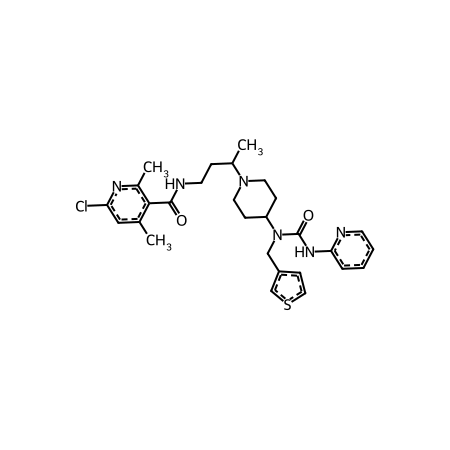 Cc1cc(Cl)nc(C)c1C(=O)NCCC(C)N1CCC(N(Cc2ccsc2)C(=O)Nc2ccccn2)CC1